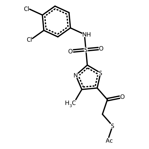 CC(=O)SCC(=O)c1sc(S(=O)(=O)Nc2ccc(Cl)c(Cl)c2)nc1C